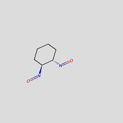 O=N[C@H]1CCCC[C@@H]1N=O